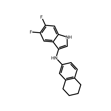 Fc1cc2[nH]cc(Nc3ccc4c(c3)CCCC4)c2cc1F